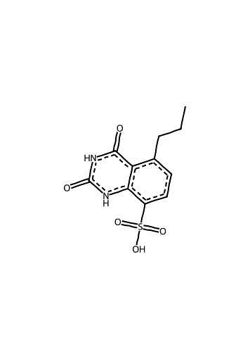 CCCc1ccc(S(=O)(=O)O)c2[nH]c(=O)[nH]c(=O)c12